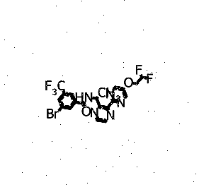 CC(NC(=O)c1cc(Br)cc(C(F)(F)F)c1)c1nccnc1-c1ncc(OCC(F)F)cn1